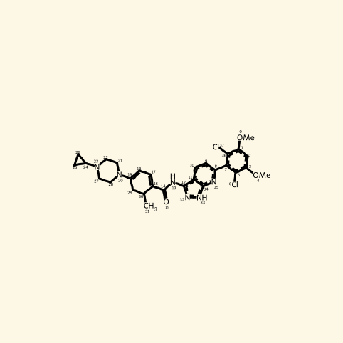 COc1cc(OC)c(Cl)c(-c2ccc3c(NC(=O)C4=CC=C(N5CCN(C6CC6)CC5)CC4C)n[nH]c3n2)c1Cl